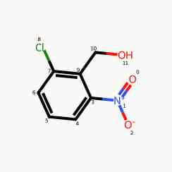 O=[N+]([O-])c1cccc(Cl)c1CO